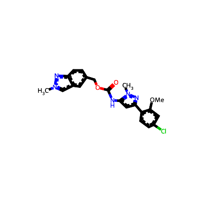 COc1cc(Cl)ccc1-c1cc(NC(=O)OCc2ccc3nn(C)cc3c2)n(C)n1